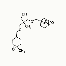 CC(CO)(COCC1CCC2(C)OC2C1)COCC1CCC2(C)OC2C1